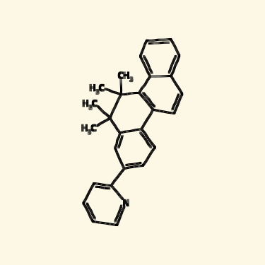 CC1(C)c2cc(-c3ccccn3)ccc2-c2ccc3ccccc3c2C1(C)C